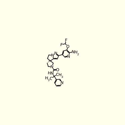 CC(C)(NC(=O)N1CC[C@@]2(CCn3nc(-c4cnc(N)c(OC(F)F)c4)cc32)C1)c1cccnc1